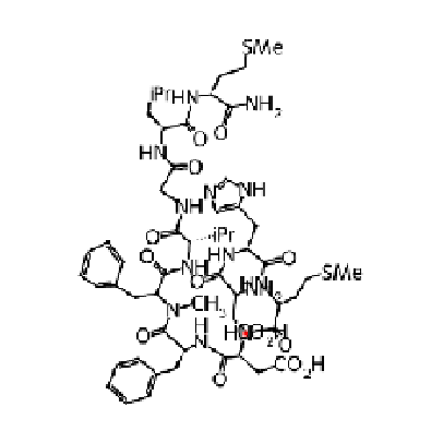 CSCC[C@H](NC(=O)[C@H](CC(C)C)NC(=O)CNC(=O)[C@@H](NC(=O)[C@H](Cc1ccccc1)N(C)C(=O)[C@H](Cc1ccccc1)NC(=O)[C@H](CC(=O)O)NC(=O)[C@H](CCSC)NC(=O)[C@H](Cc1cnc[nH]1)NC(=O)[C@@H](N)CC(=O)O)C(C)C)C(N)=O